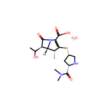 CC(O)[C@H]1C(=O)N2C(C(=O)O)=C(S[C@@H]3CN[C@H](C(=O)N(C)C)C3)[C@H](C)[C@H]12.O